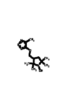 Cc1nsnc1OCC1CC(C)(C)N(O)C1(C)C